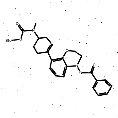 CN(C(=O)OC(C)(C)C)C1CC=C(c2cccc3c2OCCN3OC(=O)c2ccccc2)CC1